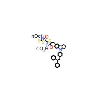 CCCCCCCCN1C(=O)/C(=c2\s/c(=C/c3ccc4c(c3)C3CCCC3N4c3ccc(C=C(c4ccccc4)c4ccccc4)cc3)c(=O)n2CC(=O)O)SC1=S